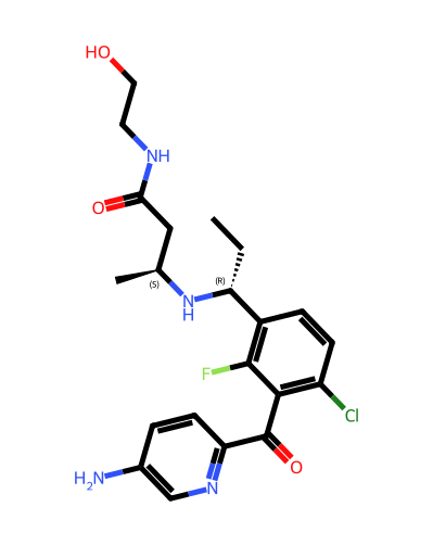 CC[C@@H](N[C@@H](C)CC(=O)NCCO)c1ccc(Cl)c(C(=O)c2ccc(N)cn2)c1F